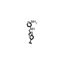 Nc1cc(NCc2cn3cc(C4CC4)ccc3n2)ccn1